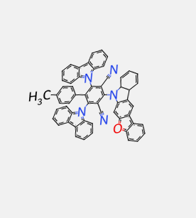 Cc1ccc(-c2c(-n3c4ccccc4c4ccccc43)c(C#N)c(N3c4cc5oc6ccccc6c5cc4C4C=CC=CC43)c(C#N)c2-n2c3ccccc3c3ccccc32)cc1